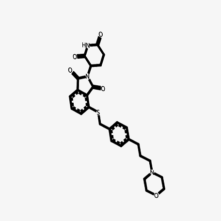 O=C1CCC(N2C(=O)c3cccc(SCc4ccc(CCCN5CCOCC5)cc4)c3C2=O)C(=O)N1